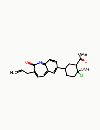 C=CCc1ccc2cc(C3CCC(Cl)(OC)C(C(=O)OC)C3)ccc2nc1=O